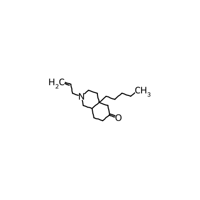 C=CCN1CCC2(CCCCC)CC(=O)CCC2C1